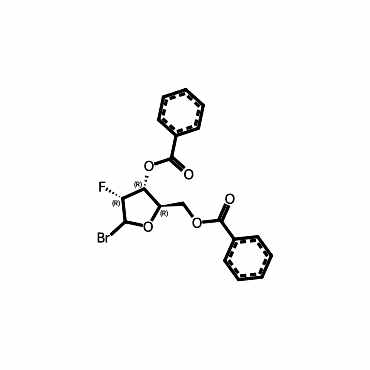 O=C(OC[C@H]1OC(Br)[C@H](F)[C@@H]1OC(=O)c1ccccc1)c1ccccc1